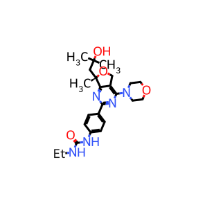 CCNC(=O)Nc1ccc(-c2nc(N3CCOCC3)c3c(n2)[C@](C)(CC(C)(C)O)OC3)cc1